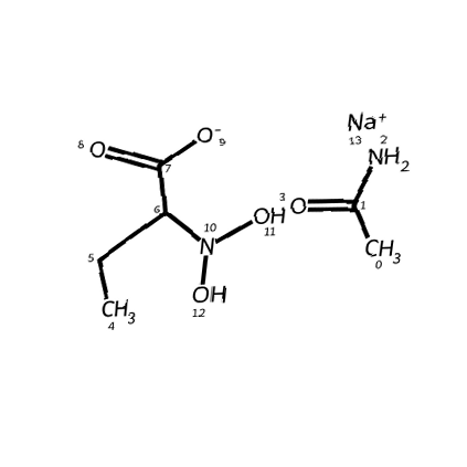 CC(N)=O.CCC(C(=O)[O-])N(O)O.[Na+]